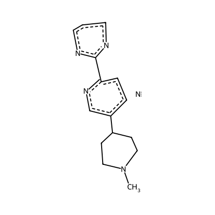 CN1CCC(c2ccc(-c3ncccn3)nc2)CC1.[N]